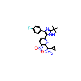 CC(C)(C)c1nc(-c2ccc(F)cc2)c(-c2ccc([N+](=O)[O-])c(C(N)C3CC3)n2)[nH]1